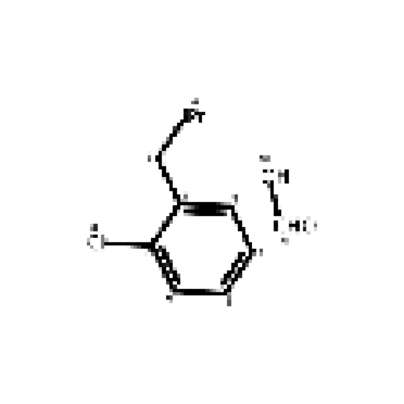 CC(C)Cc1ccccc1Cl.O=CO